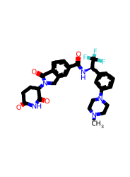 CN1CCN(c2cccc([C@@H](NC(=O)c3ccc4c(c3)CN(C3CCC(=O)NC3=O)C4=O)C(F)(F)F)c2)CC1